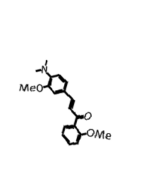 COc1ccccc1C(=O)C=Cc1ccc(N(C)C)c(OC)c1